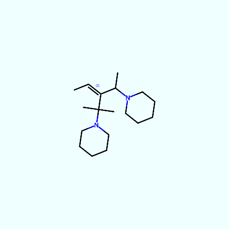 C/C=C(/C(C)N1CCCCC1)C(C)(C)N1CCCCC1